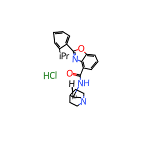 CC(C)c1ccccc1-c1nc2c(C(=O)N[C@@H]3CN4CCC3CC4)cccc2o1.Cl